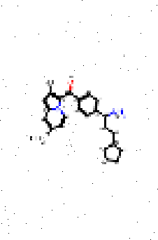 CCc1cc2cc(C(=O)O)ccn2c1C(=O)c1ccc(C(N)CCC2CCCC2)cc1